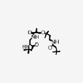 CC(COC(C)(C)CCNC(=O)CC(C)(C)C)C(=O)NCC1NC(C)(C)CC1=O